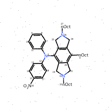 CCCCCCCCc1c2c(c(N(c3ccccc3)c3ccc([N+](=O)[O-])cc3)c3c1CN(CCCCCCCC)C3)CN(CCCCCCCC)C2